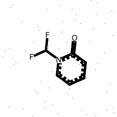 O=c1c[c]ccn1C(F)F